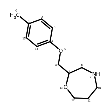 Cc1ccc(OCC2CNCCCO2)cc1